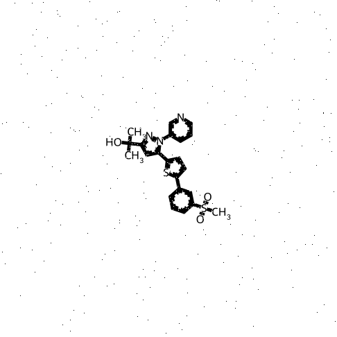 CC(C)(O)c1cc(-c2ccc(-c3cccc(S(C)(=O)=O)c3)s2)n(-c2cccnc2)n1